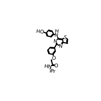 CC(C)NC(=O)COc1cccc(-c2nc(Nc3ccc(O)cc3)c3sccc3n2)c1